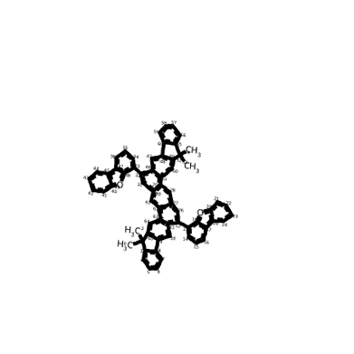 CC1(C)c2ccccc2-c2cc3c(-c4cccc5c4oc4ccccc45)cc4cc5c(cc(-c6cccc7c6oc6ccccc67)c6cc7c(cc65)C(C)(C)c5ccccc5-7)cc4c3cc21